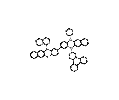 c1ccc(N2c3ccc(-c4ccc5c(c4)N(c4cccc6ccccc46)c4cc6ccccc6cc4O5)cc3N(c3ccc4c5ccccc5c5ccccc5c4c3)c3cc4ccccc4cc32)cc1